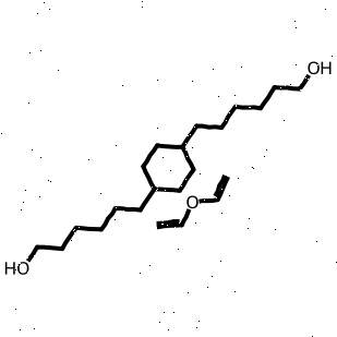 C=COC=C.OCCCCCCC1CCC(CCCCCCO)CC1